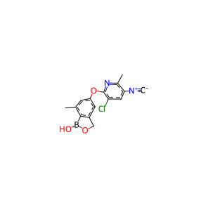 [C-]#[N+]c1cc(Cl)c(Oc2cc(C)c3c(c2)COB3O)nc1C